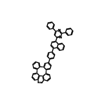 c1ccc(-c2cc(-c3ccc(-c4ccc(-c5ccc6c(c5)c5ccccc5c5cccc7ccc8cccc6c8c75)cc4)c4ccccc34)nc(-c3ccccc3)n2)cc1